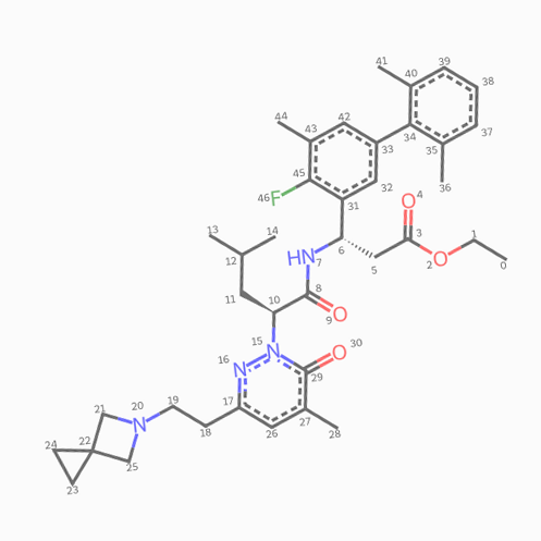 CCOC(=O)C[C@H](NC(=O)[C@H](CC(C)C)n1nc(CCN2CC3(CC3)C2)cc(C)c1=O)c1cc(-c2c(C)cccc2C)cc(C)c1F